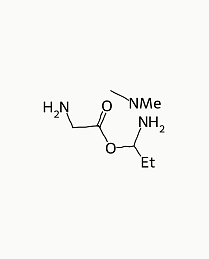 CCC(N)OC(=O)CN.CNC